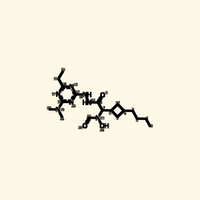 CCCCC1CC(C(C(=O)NNc2nc(CC)nc(N(C)C)n2)N(O)C=O)C1